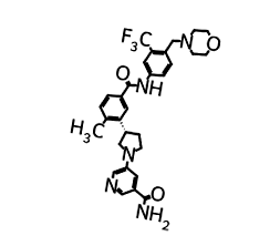 Cc1ccc(C(=O)Nc2ccc(CN3CCOCC3)c(C(F)(F)F)c2)cc1[C@@H]1CCN(c2cncc(C(N)=O)c2)C1